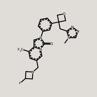 Cn1cnnc1CC1(c2cccc(-n3cc4c(C(F)(F)F)cc(CN5CC(F)C5)cn4c3=O)c2)COC1